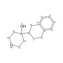 OC1(C2CCc3ccccc3C2)CCOCC1